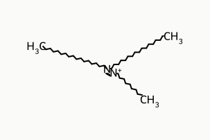 CCCCCCCCCCCCCCCCCn1cc[n+](CCCCCCCCCC)c1CCCCCCCCCCCCCCCC